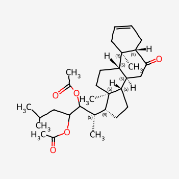 CC(=O)OC(CC(C)C)C(OC(C)=O)[C@@H](C)[C@H]1CC[C@H]2[C@@H]3CC(=O)[C@H]4CC=CC[C@]4(C)[C@H]3CC[C@]12C